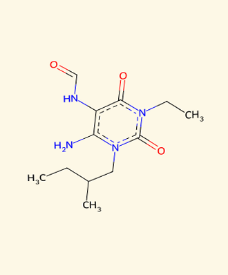 CCC(C)Cn1c(N)c(NC=O)c(=O)n(CC)c1=O